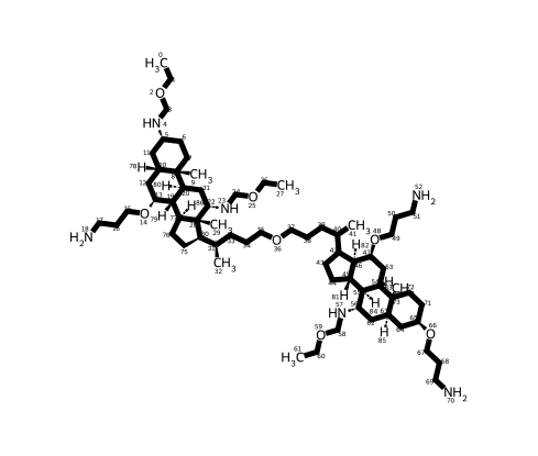 CCOCN[C@@H]1CC[C@@]2(C)[C@@H](C1)C[C@@H](OCCCN)[C@@H]1[C@@H]2C[C@H](NCOCC)[C@]2(C)[C@@H]([C@H](C)CCCOCCCC(C)C3CC[C@@H]4[C@@H]3[C@@H](OCCCN)C[C@H]3[C@H]4[C@@H](NCOCC)C[C@@H]4C[C@H](OCCCN)CC[C@@]43C)CC[C@@H]12